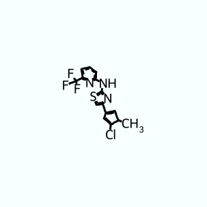 CC1C=C(c2csc(Nc3cccc(C(F)(F)F)n3)n2)C=C1Cl